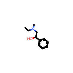 CCN(C)CC(O)c1ccccc1